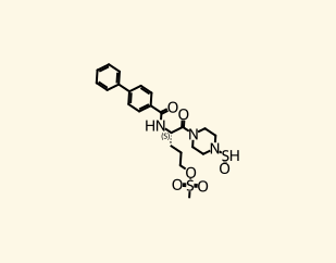 CS(=O)(=O)OCCC[C@H](NC(=O)c1ccc(-c2ccccc2)cc1)C(=O)N1CCN([SH]=O)CC1